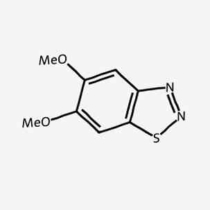 COc1cc2nnsc2cc1OC